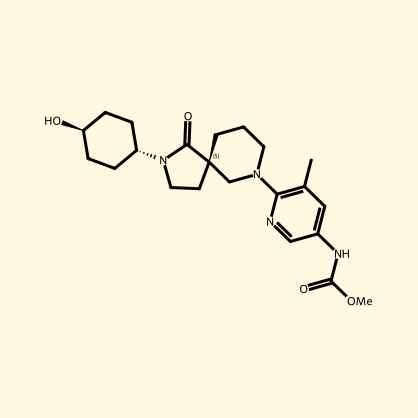 COC(=O)Nc1cnc(N2CCC[C@]3(CCN([C@H]4CC[C@H](O)CC4)C3=O)C2)c(C)c1